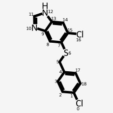 Clc1ccc(CSc2cc3nc[nH]c3cc2Cl)cc1